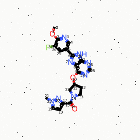 COc1ncc(-c2nc3c(OC4CCN(C(=O)c5ccn(C)n5)C4)ncnc3[nH]2)cc1F